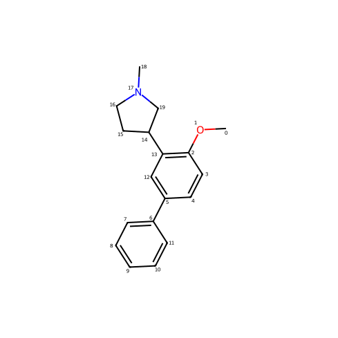 COc1ccc(-c2ccccc2)cc1C1CCN(C)C1